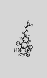 CC(C)=CCCc1ccc2c(c1)C(=O)C1=C(C2=O)S(=O)(=O)CCN1